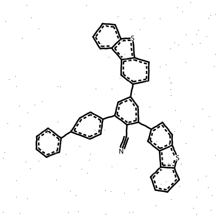 N#Cc1c(-c2ccc(-c3ccccc3)cc2)cc(-c2ccc3sc4ccccc4c3c2)cc1-c1ccc2sc3ccccc3c2c1